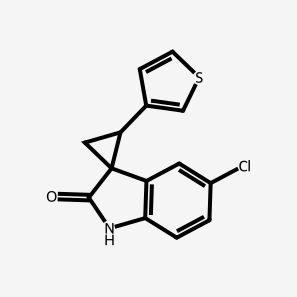 O=C1Nc2ccc(Cl)cc2C12CC2c1ccsc1